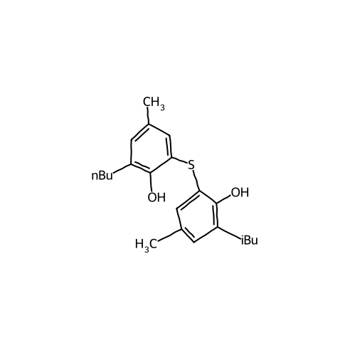 CCCCc1cc(C)cc(Sc2cc(C)cc(C(C)CC)c2O)c1O